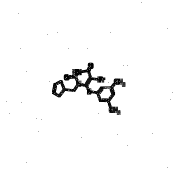 Cc1cc(C)cc(Sc2c(C(C)C)c(=O)[nH]c(=O)n2CC2CC=CC2)c1